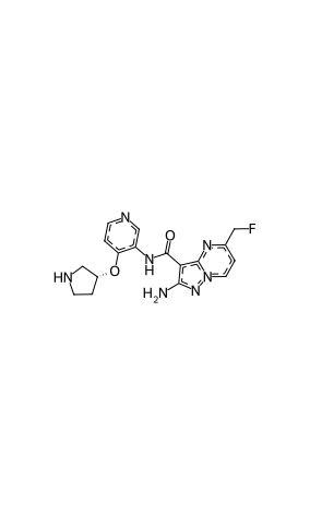 Nc1nn2ccc(CF)nc2c1C(=O)Nc1cnccc1O[C@@H]1CCNC1